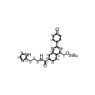 CCCCOCc1nc(-c2ccc(Cl)cc2)nc2cc(C(=O)NCCCc3ncc[nH]3)ccc12